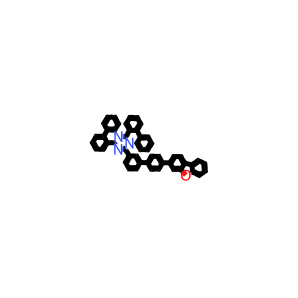 c1ccc(-c2ccccc2-c2nc(-c3cccc(-c4ccc(-c5ccc6c(c5)oc5ccccc56)cc4)c3)nc(-c3ccccc3-c3ccccc3)n2)cc1